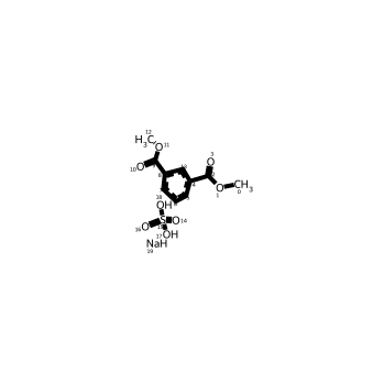 COC(=O)c1cccc(C(=O)OC)c1.O=S(=O)(O)O.[NaH]